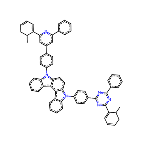 CC1CC=CC=C1c1cc(-c2ccc(-n3c4ccccc4c4c5c6ccccc6n(-c6ccc(-c7nc(C8=CC=CCC8C)nc(-c8ccccc8)n7)cc6)c5ccc43)cc2)cc(-c2ccccc2)n1